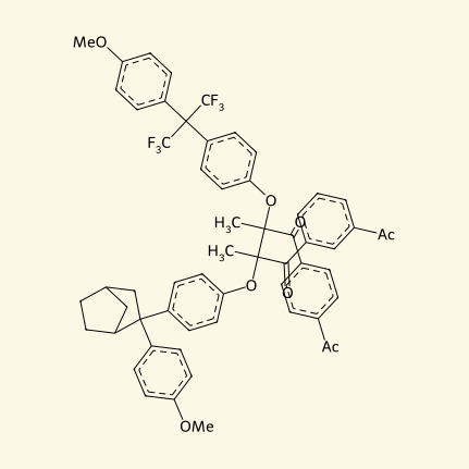 COc1ccc(C2(c3ccc(OC(C)(C(=O)c4cccc(C(C)=O)c4)C(C)(Oc4ccc(C(c5ccc(OC)cc5)(C(F)(F)F)C(F)(F)F)cc4)C(=O)c4ccc(C(C)=O)cc4)cc3)CC3CCC2C3)cc1